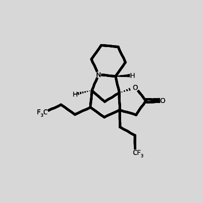 O=C1CC2(CCC(F)(F)F)CC(CCC(F)(F)F)[C@@H]3C[C@@]2(O1)[C@H]1CCCCN31